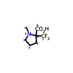 CN1CCCC1(C(=O)O)C(F)(F)F